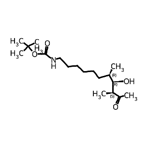 CC(=O)[C@@H](C)[C@H](O)[C@H](C)CCCCCCNC(=O)OC(C)(C)C